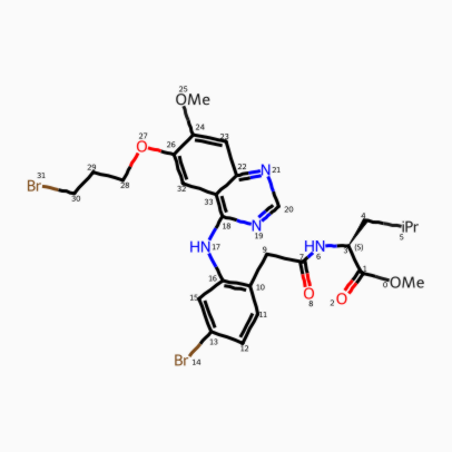 COC(=O)[C@H](CC(C)C)NC(=O)Cc1ccc(Br)cc1Nc1ncnc2cc(OC)c(OCCCBr)cc12